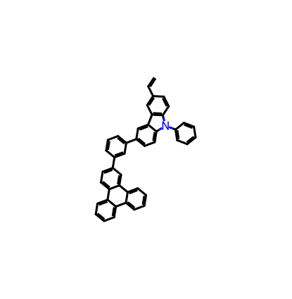 C=Cc1ccc2c(c1)c1cc(-c3cccc(-c4ccc5c6ccccc6c6ccccc6c5c4)c3)ccc1n2-c1ccccc1